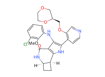 COc1c(Cl)cccc1Nc1c(-c2ccncc2OC[C@@H]2COCCO2)[nH]c2c1C(=O)N[C@@H]1CC[C@H]21